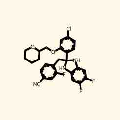 N#Cc1ccc(CC2(c3ccc(Cl)cc3OCC3CCCCO3)Nc3cc(F)c(F)cc3N2)c(F)c1